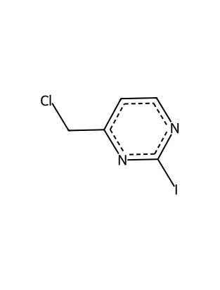 ClCc1ccnc(I)n1